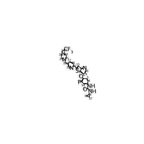 O=C(Nc1ccc(Oc2ccnc3cc(-c4ccc(CN5CCN(CC(F)(F)F)CC5)cn4)sc23)c(F)c1)NC1CC1